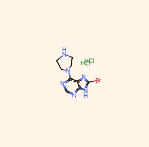 Brc1nc2c(N3CCNCC3)ncnc2[nH]1.Cl.Cl